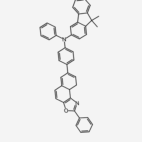 CC1(C)c2ccccc2-c2cc(N(c3ccccc3)c3ccc(C4=CCC5C(=C4)C=Cc4oc(-c6ccccc6)nc45)cc3)ccc21